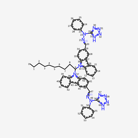 CCCCCCCCCC(n1c2ccccc2c2cc(/C=N/N(c3ccccc3)c3nnn[nH]3)ccc21)n1c2ccccc2c2cc(/C=N/N(c3ccccc3)c3nnn[nH]3)ccc21